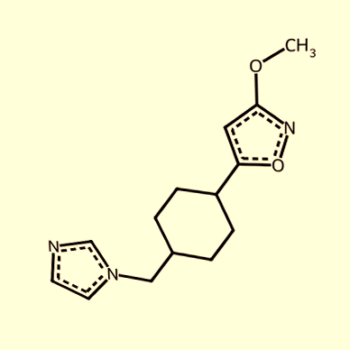 COc1cc(C2CCC(Cn3ccnc3)CC2)on1